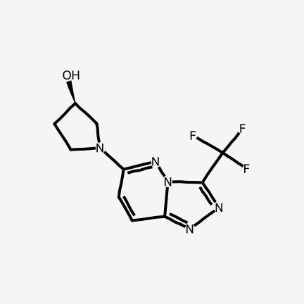 O[C@@H]1CCN(c2ccc3nnc(C(F)(F)F)n3n2)C1